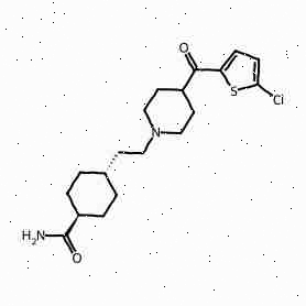 NC(=O)[C@H]1CC[C@H](CCN2CCC(C(=O)c3ccc(Cl)s3)CC2)CC1